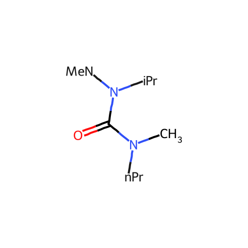 CCCN(C)C(=O)N(NC)C(C)C